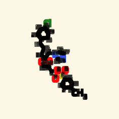 Cc1ccc(S(=O)(=O)OC[C@H]2CO[C@](CCCc3ccc(Cl)cc3)(Cn3ccnc3)O2)cc1